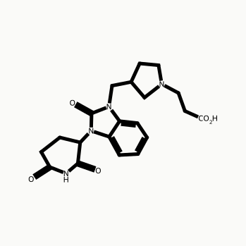 O=C(O)CCN1CCC(Cn2c(=O)n(C3CCC(=O)NC3=O)c3ccccc32)C1